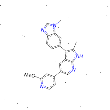 COc1cc(-c2cnc3[nH]c(C)c(-c4ccc5ncn(C)c5c4)c3c2)ccn1